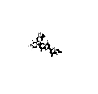 CC1=CC(N2C[C@@H](C)N[C@@H](C)C2)(N2CCNC3(CC3)C2)Cn2c1nc(-c1cc(C)c3nc(C)cn3n1)cc2=O